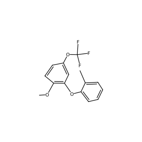 COc1ccc(OC(F)(F)F)cc1Oc1ccccc1C